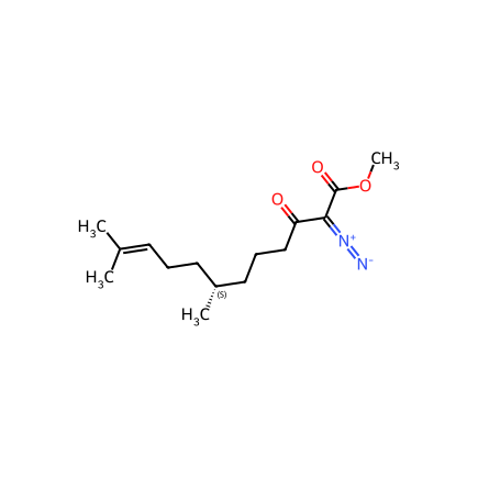 COC(=O)C(=[N+]=[N-])C(=O)CCC[C@H](C)CCC=C(C)C